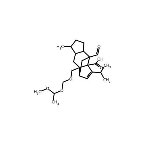 COC(C)OCOCC12CC3C(C)CCC3C3(C=O)CC1C=C(C(C)C)C32C(=O)O